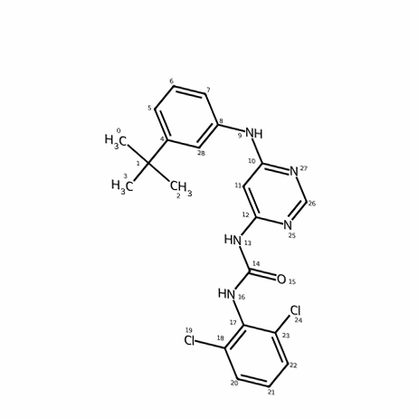 CC(C)(C)c1cccc(Nc2cc(NC(=O)Nc3c(Cl)cccc3Cl)ncn2)c1